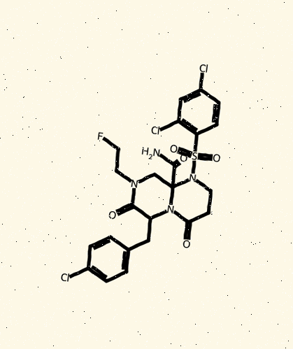 NC(=O)C12CN(CCF)C(=O)C(Cc3ccc(Cl)cc3)N1C(=O)[C]CN2S(=O)(=O)c1ccc(Cl)cc1Cl